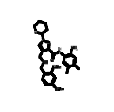 COc1ccc(CNCc2cn(C3CCCCO3)nc2C(=O)Nc2cc(C)c(C)cc2N)c(OC)c1